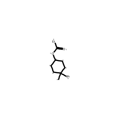 CCC(=O)OC1CCC(C)(C(C)C)CC1